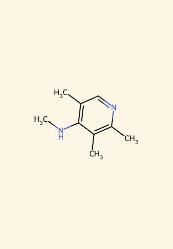 CNc1c(C)cnc(C)c1C